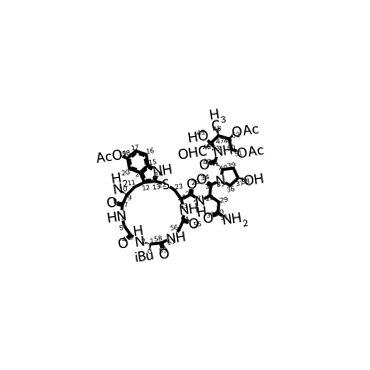 CC[C@H](C)[C@@H]1NC(=O)CNC(=O)[C@H](N)Cc2c([nH]c3ccc(OC(C)=O)cc23)SCC(C(=O)NC(CC(N)=O)C(=O)N2C[C@H](O)C[C@H]2C(=O)N[C@](O)(C=O)[C@@H](C)[C@H](COC(C)=O)OC(C)=O)NC(=O)CNC1=O